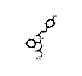 C=C(/C=C/c1ccc(N)cc1)N[C@@H](CC(=O)OC)c1ccccc1